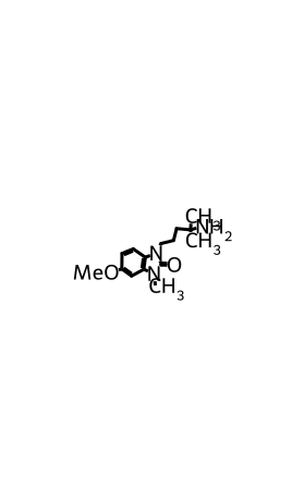 COc1ccc2c(c1)n(C)c(=O)n2CCCC(C)(C)N